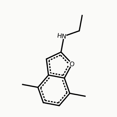 CCNc1cc2c(C)ccc(C)c2o1